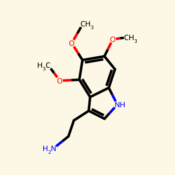 COc1cc2[nH]cc(CCN)c2c(OC)c1OC